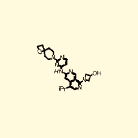 CC(C)c1cnc(N2CC(O)C2)c2cnc(Nc3ccnc(N4CCC5(CCO5)CC4)n3)cc12